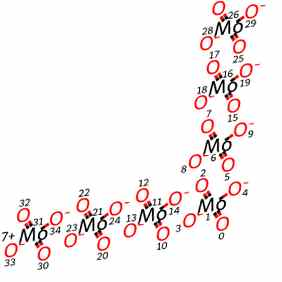 [O]=[Mo](=[O])([O-])[O-].[O]=[Mo](=[O])([O-])[O-].[O]=[Mo](=[O])([O-])[O-].[O]=[Mo](=[O])([O-])[O-].[O]=[Mo](=[O])([O-])[O-].[O]=[Mo](=[O])([O-])[O-].[O]=[Mo](=[O])([O-])[O-].[Tc+7].[Tc+7]